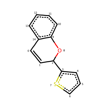 C1=CC(c2cccs2)Oc2ccccc21